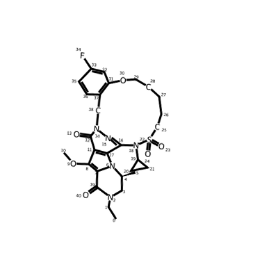 CCN1C[C@H](C)n2c(c(OC)c3c(=O)n4nc(c32)N(C2CC2)S(=O)(=O)CCCCCOc2cc(F)ccc2C4)C1=O